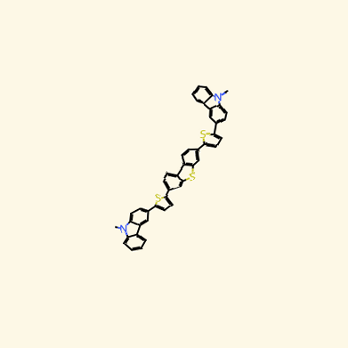 Cn1c2ccccc2c2cc(-c3ccc(-c4ccc5c(c4)sc4cc(-c6ccc(-c7ccc8c(c7)c7ccccc7n8C)s6)ccc45)s3)ccc21